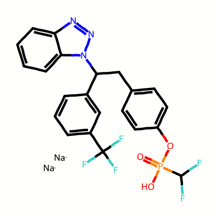 O=P(O)(Oc1ccc(CC(c2cccc(C(F)(F)F)c2)n2nnc3ccccc32)cc1)C(F)F.[Na].[Na]